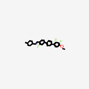 CCOc1ccc(-c2ccc(-c3ccc(/C=C/C4CCC(C)CC4)c(F)c3)cc2)c(F)c1F